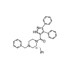 CC(C)C[C@@H]1CN(Cc2ccccc2)CCN1C(=O)c1[nH]nc(-c2ccccc2)c1-c1ccccc1